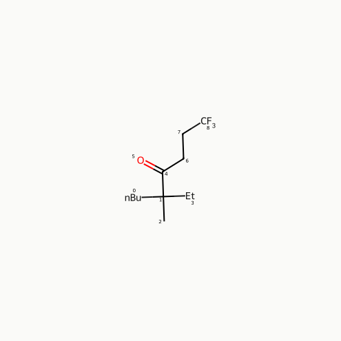 CCCCC(C)(CC)C(=O)CCC(F)(F)F